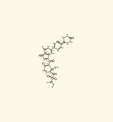 CCN(C)S(=O)(=O)Nc1ccc(F)c(C(=O)c2c[nH]c3c2cc(-c2ccc(N4CCNCC4)nc2)c[n+]3C)c1F